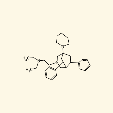 CCN(CC)CCN1CC2C(c3ccccc3)CC(N3CCCCC3)(CC2c2ccccc2)C1